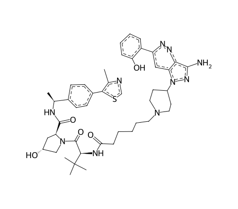 Cc1ncsc1-c1ccc([C@H](C)NC(=O)[C@@H]2C[C@@H](O)CN2C(=O)[C@@H](NC(=O)CCCCCN2CCC(n3nc(N)c4nnc(-c5ccccc5O)cc43)CC2)C(C)(C)C)cc1